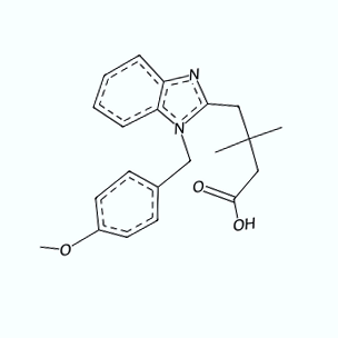 COc1ccc(Cn2c(CC(C)(C)CC(=O)O)nc3ccccc32)cc1